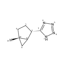 C1C[C@H](c2nnn[nH]2)C2C[C@H]12